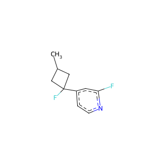 CC1CC(F)(c2ccnc(F)c2)C1